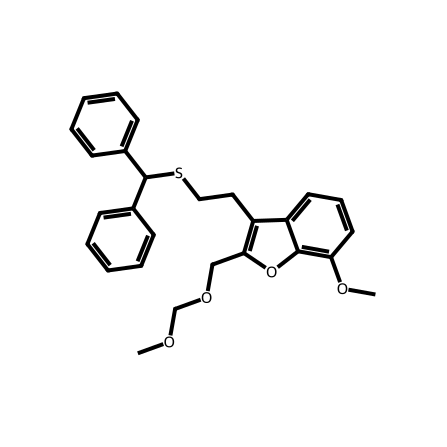 COCOCc1oc2c(OC)cccc2c1CCSC(c1ccccc1)c1ccccc1